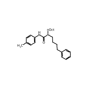 CCCCCCCCN(CCCCc1ccccc1)C(=O)Nc1ccc(C)cc1